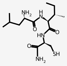 CC[C@H](C)[C@H](NC(=O)[C@@H](N)CC(C)C)C(=O)N[C@@H](CS)C(N)=O